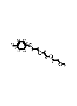 COCCOCCOCCOc1ccc(C)cc1